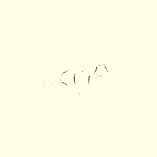 COc1cc(N)ccc1NC(=O)c1ccc[nH]1